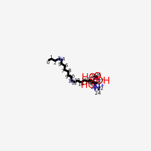 CCC/C=C\CCCCCC/C=C\CCCCCC(O)(C[N+](C)(C)C)P(=O)(O)O